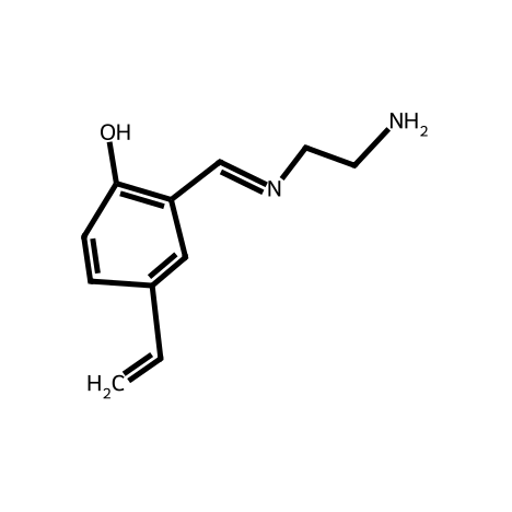 C=Cc1ccc(O)c(C=NCCN)c1